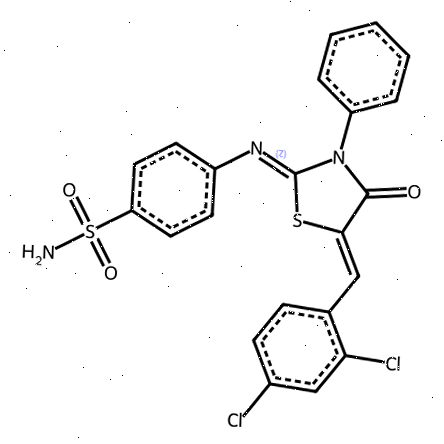 NS(=O)(=O)c1ccc(/N=C2\SC(=Cc3ccc(Cl)cc3Cl)C(=O)N2c2ccccc2)cc1